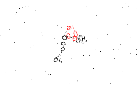 C=C(C)C(=O)OCCOc1cc(-c2ccc(-c3ccc(CCCCC)cc3)cc2)ccc1CCCO